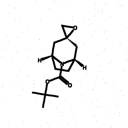 CC(C)(C)OC(=O)N1[C@@H]2CC[C@H]1C[C@@]1(CO1)C2